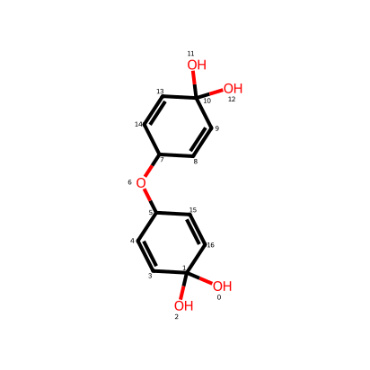 OC1(O)C=CC(OC2C=CC(O)(O)C=C2)C=C1